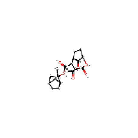 CCC(C)C(=O)OC1C2CCC1C(C(=O)OC1(CC)CC3CCC1C3)CC(=O)O2